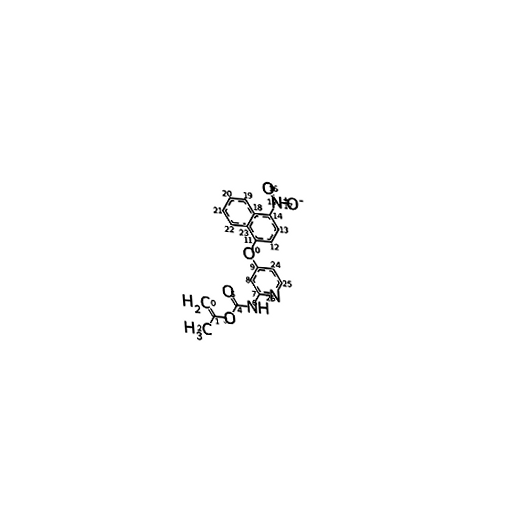 C=C(C)OC(=O)Nc1cc(Oc2ccc([N+](=O)[O-])c3ccccc23)ccn1